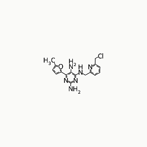 Cc1ccc(-c2nc(N)nc(NCc3cccc(CCl)n3)c2N)o1